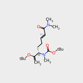 C=C(OC(C)(C)C)[C@H](CC/C=C/C(=O)N(C)C)N(C)C(=O)OC(C)(C)C